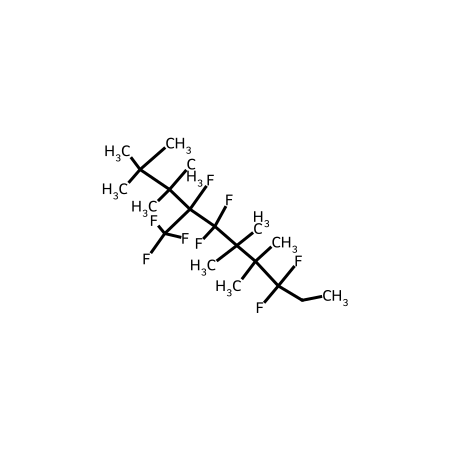 CCC(F)(F)C(C)(C)C(C)(C)C(F)(F)C(F)(C(F)(F)F)C(C)(C)C(C)(C)C